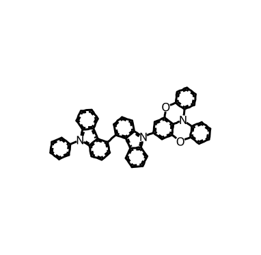 c1ccc(-n2c3ccccc3c3c(-c4cccc5c4c4ccccc4n5-c4cc5c6c(c4)Oc4ccccc4N6c4ccccc4O5)cccc32)cc1